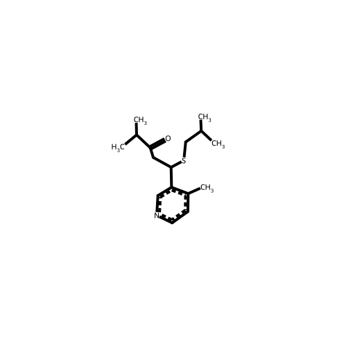 Cc1ccncc1C(CC(=O)C(C)C)SCC(C)C